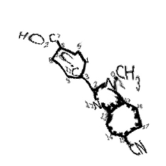 Cn1c(C23CCC(C(=O)O)(CC2)CC3)nc2cc(C#N)ccc21